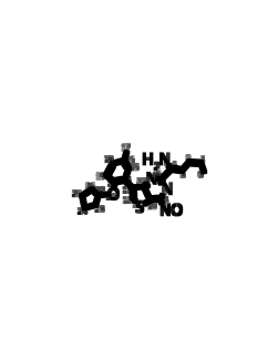 C/C=C\C=C(/N)c1nc(N=O)c2scc(-c3cc(C)ccc3OC3CCCC3)c2n1